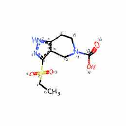 CCS(=O)(=O)c1n[nH]c2c1CN(C(=O)O)CC2